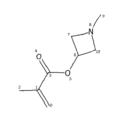 C=C(C)C(=O)OC1CN(C)C1